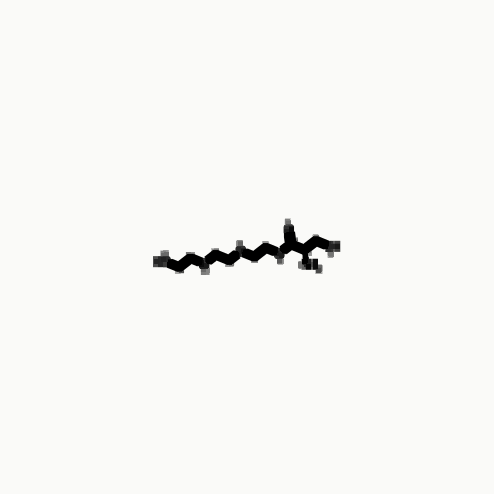 N[C@@H](CS)C(=O)OCCOCCOCCO